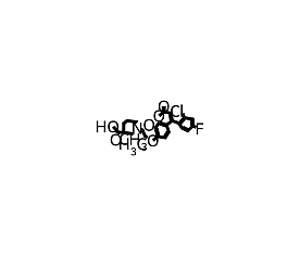 CC(Oc1ccc2c(-c3ccc(F)cc3Cl)cc(=O)oc2c1)C(=O)N1CCCC(C)(C(=O)O)C1